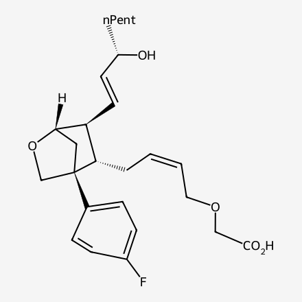 CCCCC[C@H](O)/C=C/[C@@H]1[C@@H]2C[C@@](c3ccc(F)cc3)(CO2)[C@H]1C/C=C\COCC(=O)O